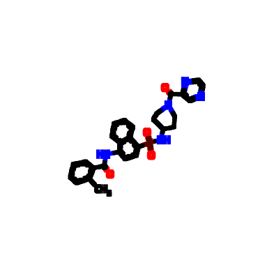 Cc1ccccc1C(=O)Nc1ccc(S(=O)(=O)NC2CCN(C(=O)c3cnccn3)CC2)c2ccccc12